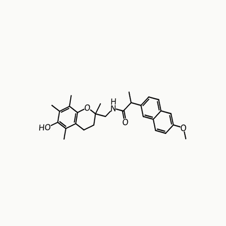 COc1ccc2cc(C(C)C(=O)NCC3(C)CCc4c(C)c(O)c(C)c(C)c4O3)ccc2c1